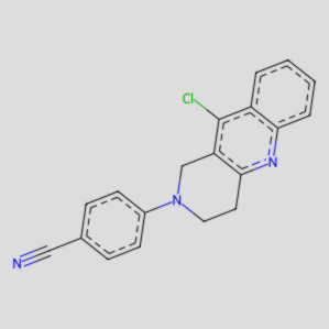 N#Cc1ccc(N2CCc3nc4ccccc4c(Cl)c3C2)cc1